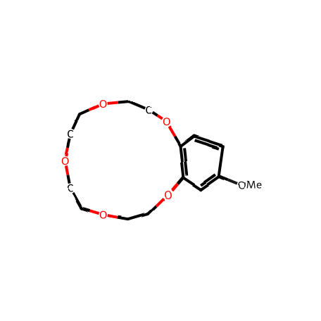 COc1ccc2c(c1)OCCOCCOCCOCCO2